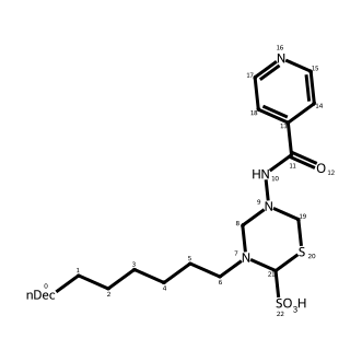 CCCCCCCCCCCCCCCCN1CN(NC(=O)c2ccncc2)CSC1S(=O)(=O)O